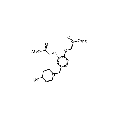 COC(=O)COc1ccc(CN2CCC(N)CC2)cc1OCC(=O)OC